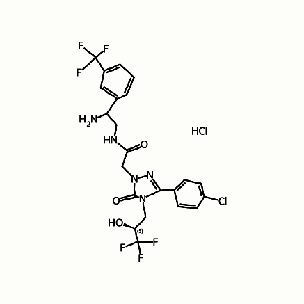 Cl.NC(CNC(=O)Cn1nc(-c2ccc(Cl)cc2)n(C[C@H](O)C(F)(F)F)c1=O)c1cccc(C(F)(F)F)c1